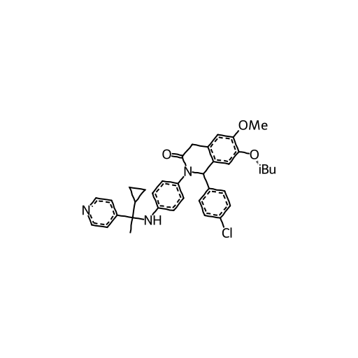 CC[C@@H](C)Oc1cc2c(cc1OC)CC(=O)N(c1ccc(NC(C)(c3ccncc3)C3CC3)cc1)C2c1ccc(Cl)cc1